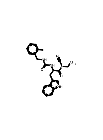 CCN(C#N)C(=O)C(Cc1c[nH]c2ccccc12)NC(=O)NCc1ccccc1F